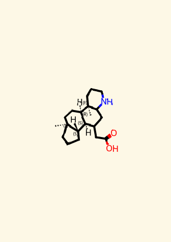 C[C@@]12CCC[C@H]1[C@@H]1C(CC(=O)O)CC3NCCC[C@]3(C)[C@@H]1CC2